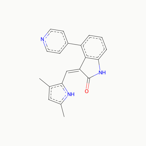 Cc1cc(C)c(C=C2C(=O)Nc3cccc(-c4ccncc4)c32)[nH]1